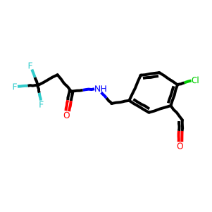 O=Cc1cc(CNC(=O)CC(F)(F)F)ccc1Cl